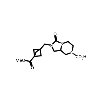 COC(=O)C12CC(CN3CC4CN(C(=O)O)CCN4C3=O)(C1)C2